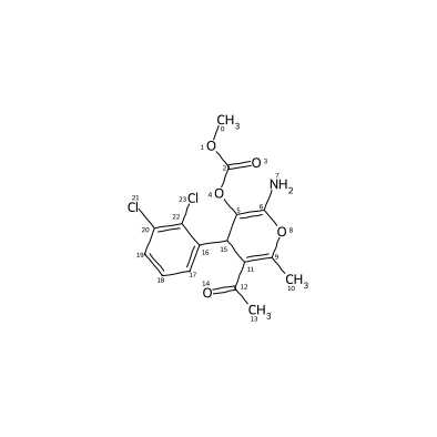 COC(=O)OC1=C(N)OC(C)=C(C(C)=O)C1c1cccc(Cl)c1Cl